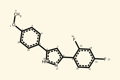 COc1ccc(-c2cc(-c3ccc(F)cc3F)n[nH]2)cc1